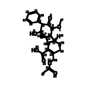 CON(C(=O)C(C(=O)O)c1ccccc1)C1C(=O)N2C(C(=O)O)=C(COC(C)=O)CS[C@@H]12